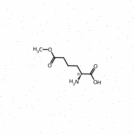 COC(=O)CCC[C@H](N)C(=O)O